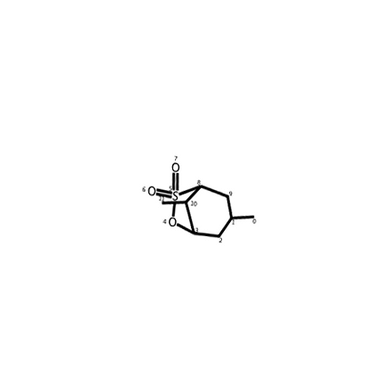 CC1CC2OS(=O)(=O)C(C1)C2C